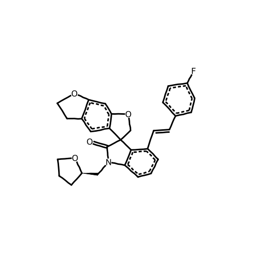 O=C1N(C[C@H]2CCCO2)c2cccc(/C=C/c3ccc(F)cc3)c2C12COc1cc3c(cc12)CCO3